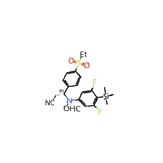 CCS(=O)(=O)c1ccc([C@@H](CC#N)N(C=O)c2cc(F)c([Si](C)(C)C)c(F)c2)cc1